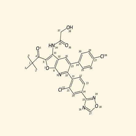 CC(C)(C)C(=O)c1oc2nc(-c3ccc(-c4ncon4)cc3Cl)c(-c3ccc(Cl)cc3)cc2c1NC(=O)CO